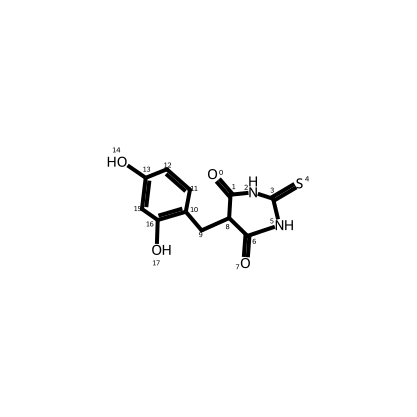 O=C1NC(=S)NC(=O)C1Cc1ccc(O)cc1O